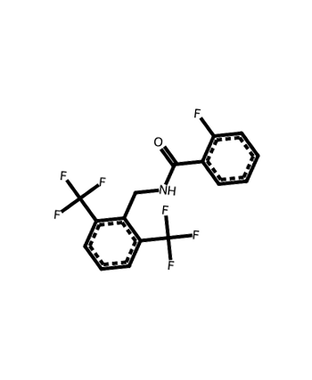 O=C(NCc1c(C(F)(F)F)cccc1C(F)(F)F)c1ccccc1F